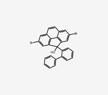 OC1(c2ccccc2-c2ccccc2)c2cc(Br)cc3ccc4cc(Br)cc1c4c23